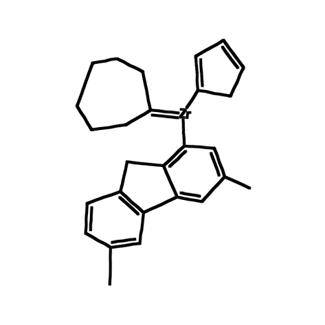 Cc1ccc2c(c1)-c1cc(C)c[c]([Zr]([C]3=CC=CC3)=[C]3CCCCCC3)c1C2